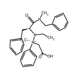 CCN([C@@H](Cc1ccccc1)C(=O)N(C)Cc1ccccc1)[N@@+](C)(CC(=O)O)c1ccccc1